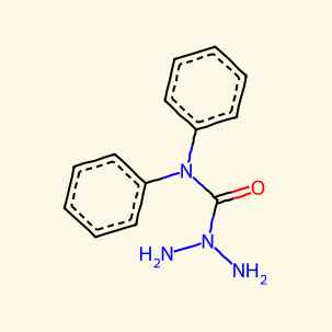 NN(N)C(=O)N(c1ccccc1)c1ccccc1